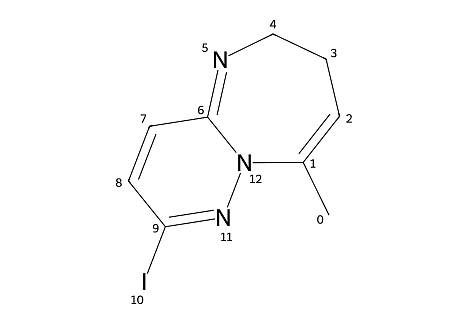 CC1=CCCN=C2C=CC(I)=NN12